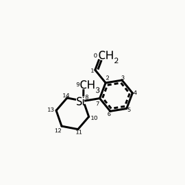 C=Cc1ccccc1[Si]1(C)CCCCC1